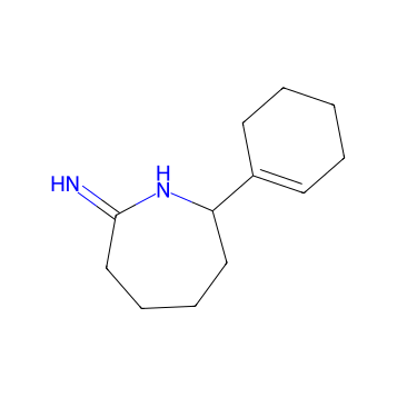 N=C1CCCCC(C2=CCCCC2)N1